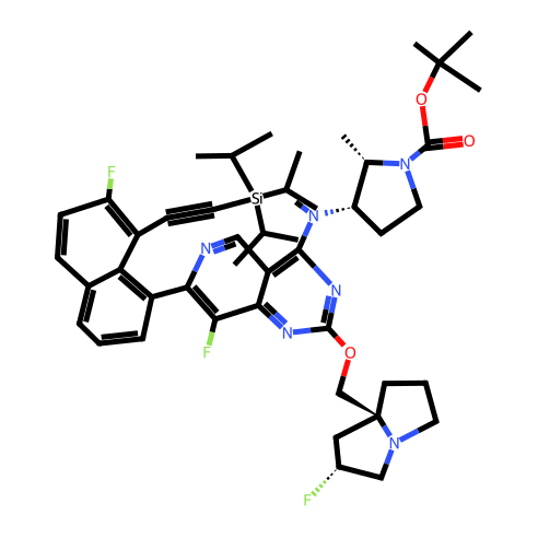 CC(C)[Si](C#Cc1c(F)ccc2cccc(-c3ncc4c(N(C)[C@H]5CCN(C(=O)OC(C)(C)C)[C@H]5C)nc(OC[C@@]56CCCN5C[C@H](F)C6)nc4c3F)c12)(C(C)C)C(C)C